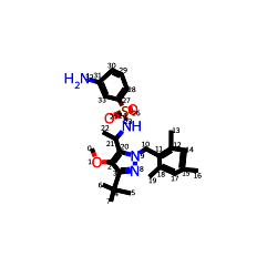 COc1c(C(C)(C)C)nn(Cc2c(C)cc(C)cc2C)c1C(C)NS(=O)(=O)c1cccc(N)c1